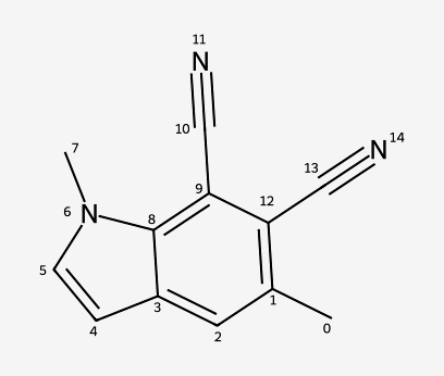 Cc1cc2ccn(C)c2c(C#N)c1C#N